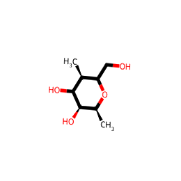 C[C@H]1C(CO)O[C@@H](C)[C@@H](O)C1O